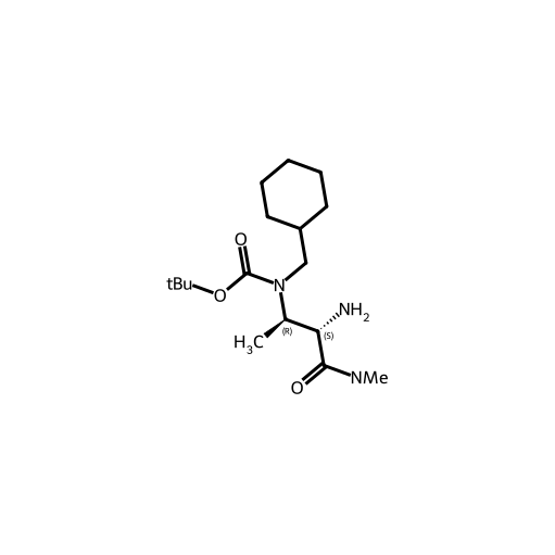 CNC(=O)[C@@H](N)[C@@H](C)N(CC1CCCCC1)C(=O)OC(C)(C)C